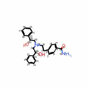 NC(=O)c1ccc(CCN(C[C@H](O)c2ccccc2)C[C@H](O)c2ccccc2)cc1